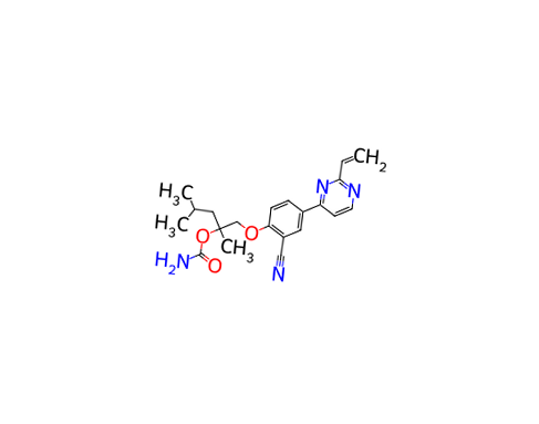 C=Cc1nccc(-c2ccc(OCC(C)(CC(C)C)OC(N)=O)c(C#N)c2)n1